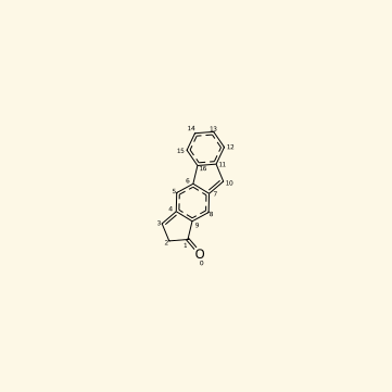 O=C1CC=c2cc3c(cc21)=Cc1ccccc1-3